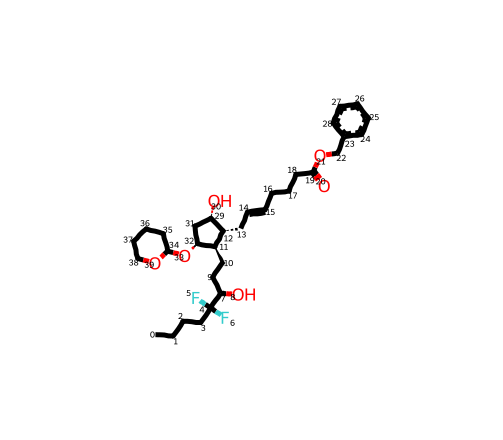 CCCCC(F)(F)C(O)CC[C@@H]1[C@@H](CC=CCCCC(=O)OCc2ccccc2)[C@@H](O)C[C@H]1OC1CCCCO1